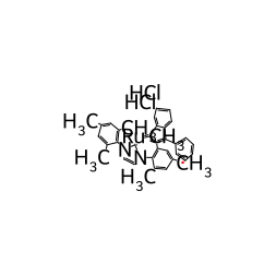 Cc1cc(C)c(-n2ccn(-c3c(C)cc(C)cc3C)[c]2=[Ru]=[C]2C=C(c3ccccc3)c3ccccc32)c(C)c1.Cl.Cl